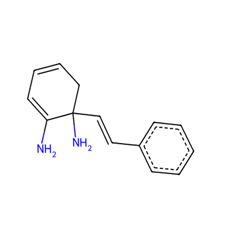 NC1=CC=CCC1(N)C=Cc1ccccc1